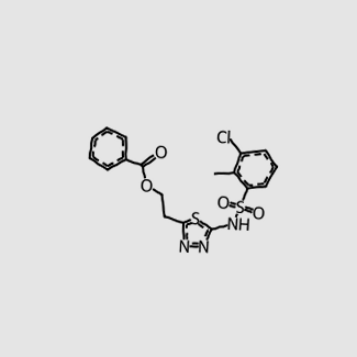 Cc1c(Cl)cccc1S(=O)(=O)Nc1nnc(CCOC(=O)c2ccccc2)s1